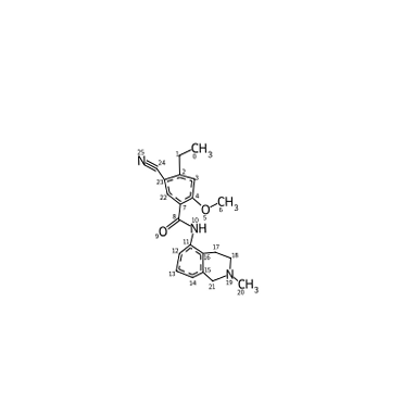 CCc1cc(OC)c(C(=O)Nc2cccc3c2CCN(C)C3)cc1C#N